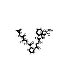 CC(C)(C)S(=O)(=O)CC1(NC(=O)NCC(=O)N2CCC[C@H]2C(=O)NCC(=O)C(=O)NC2CC2)CCCCC1